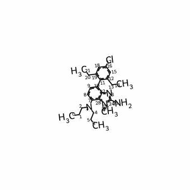 CCCN(CCC)c1ccc(-c2c(CC)cc(Cl)cc2CC)c2nc(N)n(C)c12